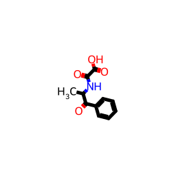 CC(NC(=O)C(=O)O)C(=O)c1ccccc1